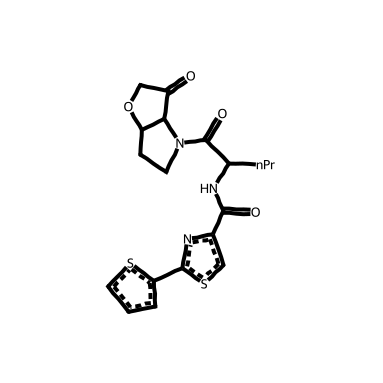 CCCC(NC(=O)c1csc(-c2cccs2)n1)C(=O)N1CCC2OCC(=O)C21